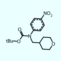 CC(C)(C)OC(=O)N(CC1CCOCC1)c1ccc([N+](=O)[O-])cc1